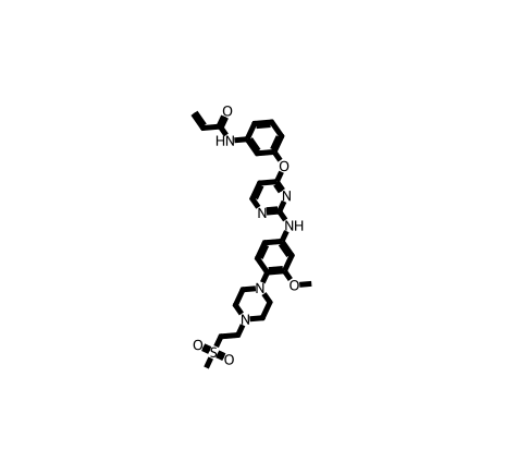 C=CC(=O)Nc1cccc(Oc2ccnc(Nc3ccc(N4CCN(CCS(C)(=O)=O)CC4)c(OC)c3)n2)c1